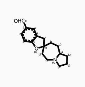 O=Cc1ccc2c(c1)CC1(CCC3CCCN3CC1)O2